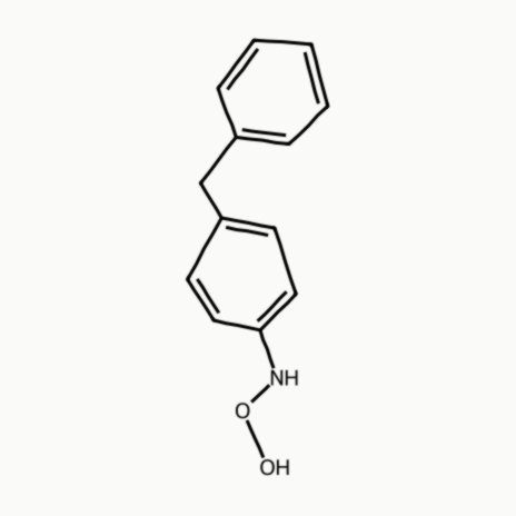 OONc1ccc(Cc2ccccc2)cc1